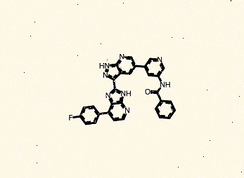 O=C(Nc1cncc(-c2cnc3[nH]nc(-c4nc5c(-c6ccc(F)cc6)ccnc5[nH]4)c3c2)c1)c1ccccc1